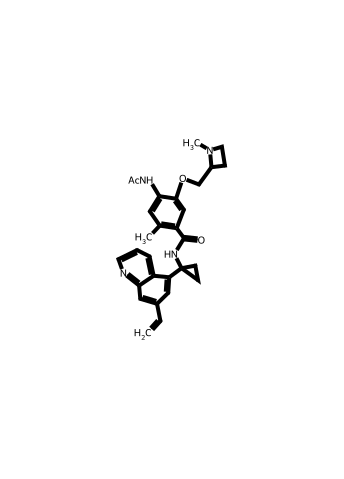 C=Cc1cc(C2(NC(=O)c3cc(OCC4CCN4C)c(NC(C)=O)cc3C)CC2)c2cccnc2c1